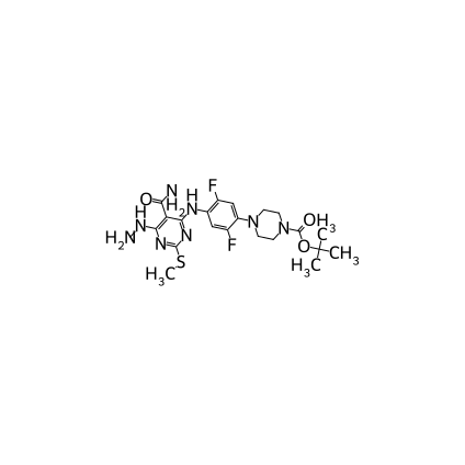 CSc1nc(NN)c(C(N)=O)c(Nc2cc(F)c(N3CCN(C(=O)OC(C)(C)C)CC3)cc2F)n1